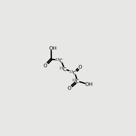 O=C(O)[13CH2][13CH2][13C](=O)[13C](=O)O